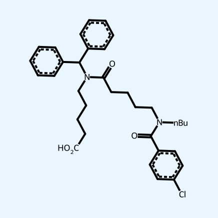 CCCCN(CCCCC(=O)N(CCCCC(=O)O)C(c1ccccc1)c1ccccc1)C(=O)c1ccc(Cl)cc1